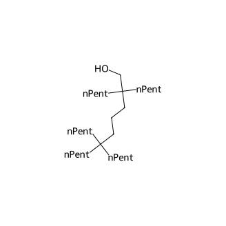 CCCCCC(CO)(CCCCC)CCCC(CCCCC)(CCCCC)CCCCC